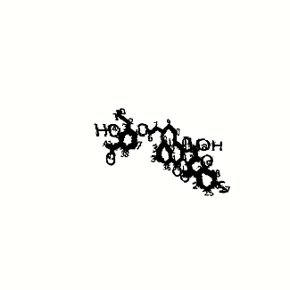 CCCc1c(OCCC/C=C\C=C\[C@@H](c2c(C(=O)O)oc3c(c2=O)=CCC(=S)C=3)[C@@H](O)c2ccccc2)ccc(C(C)=O)c1O